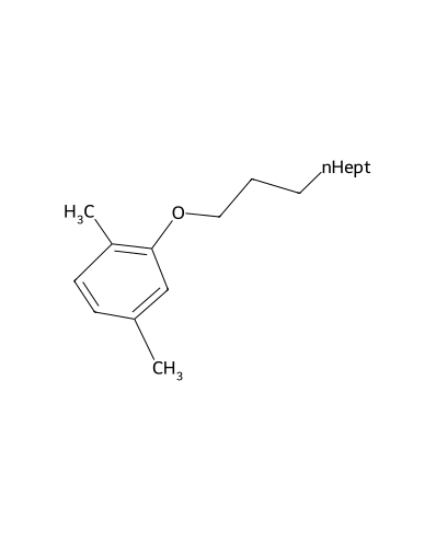 CCCCCCCCCCOc1cc(C)ccc1C